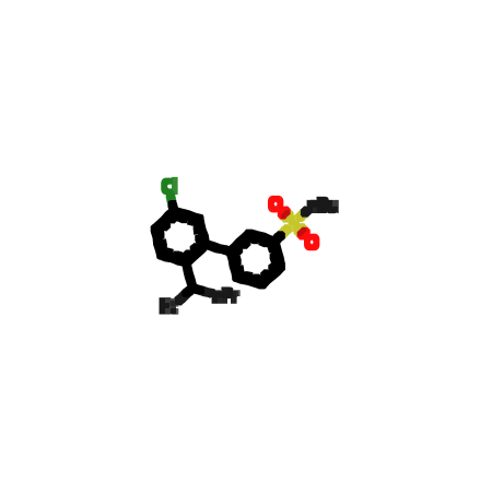 CCCCS(=O)(=O)c1cccc(-c2cc(Cl)ccc2C(CC)CCC)c1